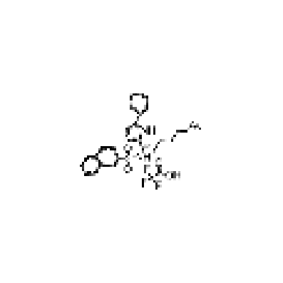 CC(=O)CCCCC[C@H](NS(=O)(=O)c1ccc2ccccc2c1)c1ncc(-c2ccccc2)[nH]1.O=C(O)C(F)(F)F